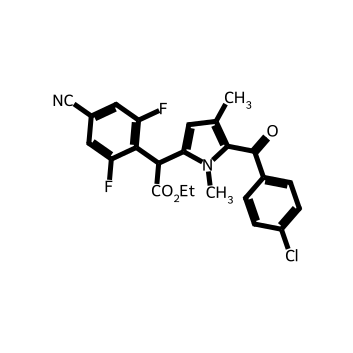 CCOC(=O)C(c1c(F)cc(C#N)cc1F)c1cc(C)c(C(=O)c2ccc(Cl)cc2)n1C